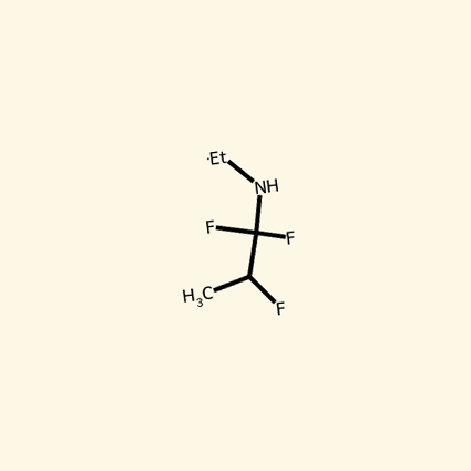 C[CH]NC(F)(F)C(C)F